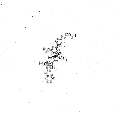 CN(C[C@H](O)CNC(C)(C)CCCc1ccccc1)S(=O)(=O)c1cc(-c2ccc(CCC(=O)O)cn2)cc(C(F)(F)F)c1